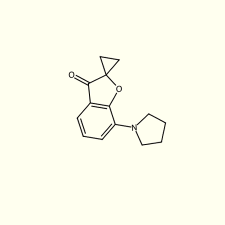 O=C1c2cccc(N3CCCC3)c2OC12CC2